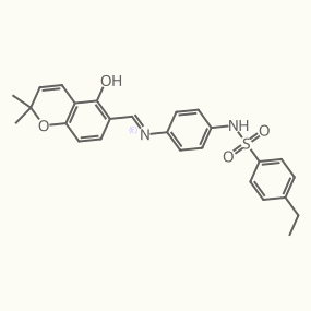 CCc1ccc(S(=O)(=O)Nc2ccc(/N=C/c3ccc4c(c3O)C=CC(C)(C)O4)cc2)cc1